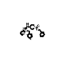 O=C(OCc1ccccc1)N1CCC(Nc2nc3cccnc3n2Cc2ccc(F)cc2)CC1